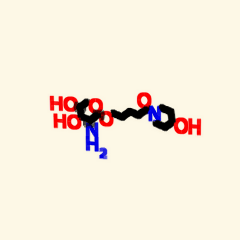 N[C@H]1C(O)[C@@H](O)CO[C@H]1OCCCCC(=O)N1CCC(O)CC1